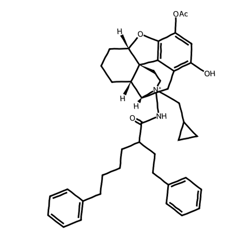 CC(=O)Oc1cc(O)c2c3c1O[C@H]1CCC[C@H]4[C@@H](C2)[N+](CC2CC2)(NC(=O)C(CCCCc2ccccc2)CCc2ccccc2)CC[C@]314